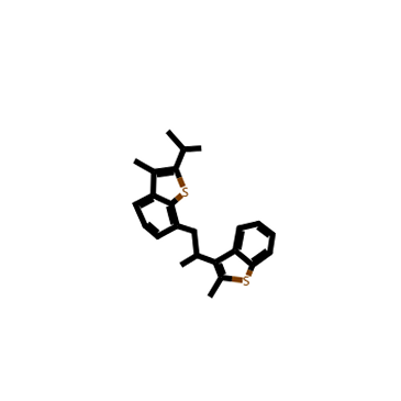 Cc1sc2ccccc2c1C(C)Cc1cccc2c(C)c(C(C)C)sc12